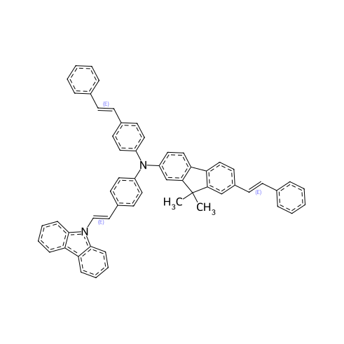 CC1(C)c2cc(/C=C/c3ccccc3)ccc2-c2ccc(N(c3ccc(/C=C/c4ccccc4)cc3)c3ccc(/C=C/n4c5ccccc5c5ccccc54)cc3)cc21